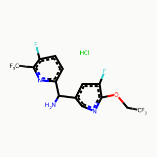 Cl.NC(c1cnc(OCC(F)(F)F)c(F)c1)c1ccc(F)c(C(F)(F)F)n1